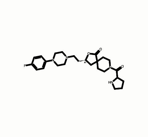 O=C(C1CCCN1)N1CCC2(CC1)C[C@H](CCN1CCN(c3ccc(F)cc3)CC1)OC2=O